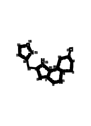 Clc1ccc2ncc3nc(Cc4ccon4)[nH]c3c2c1